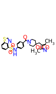 Cc1noc(C)c1CC1(O)CCN(C(=O)c2ccc(NS(=O)(=O)c3cccc4scnc34)cc2)CC1